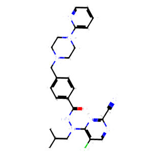 CC(C)CN(NC(=O)c1ccc(CN2CCN(c3ccccn3)CC2)cc1)c1nc(C#N)ncc1Cl